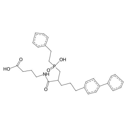 O=C(O)CCCNC(=O)C(CCCc1ccc(-c2ccccc2)cc1)CP(=O)(O)CCc1ccccc1